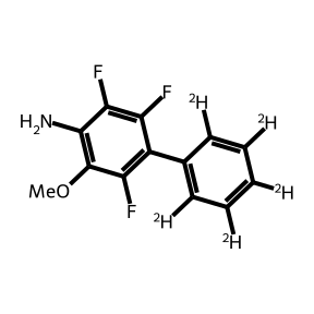 [2H]c1c([2H])c([2H])c(-c2c(F)c(F)c(N)c(OC)c2F)c([2H])c1[2H]